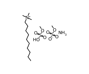 CCCCCCCCCC[N+](C)(C)C.COS(=O)(=O)O.COS(=O)(=O)[O-].N